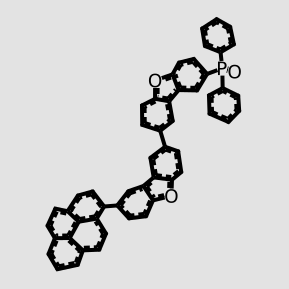 O=P(c1ccccc1)(c1ccccc1)c1ccc2oc3ccc(-c4ccc5oc6ccc(-c7ccc8ccc9cccc%10ccc7c8c9%10)cc6c5c4)cc3c2c1